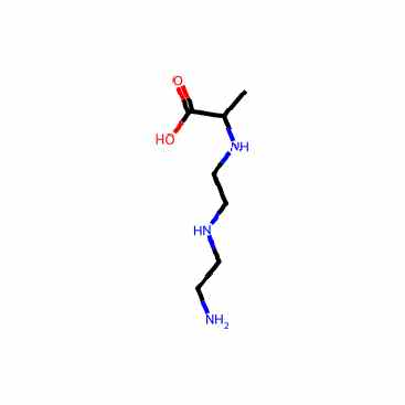 CC(NCCNCCN)C(=O)O